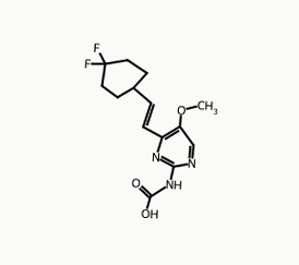 COc1cnc(NC(=O)O)nc1C=CC1CCC(F)(F)CC1